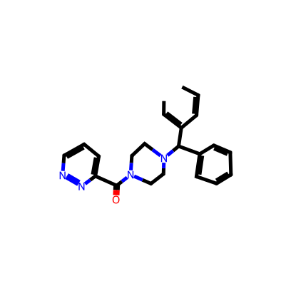 C/C=C\C(=C/C)C(c1ccccc1)N1CCN(C(=O)c2cccnn2)CC1